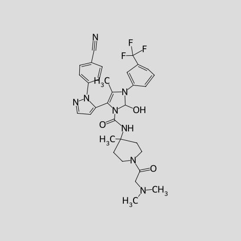 CC1=C(c2ccnn2-c2ccc(C#N)cc2)N(C(=O)NC2(C)CCN(C(=O)CN(C)C)CC2)C(O)N1c1cccc(C(F)(F)F)c1